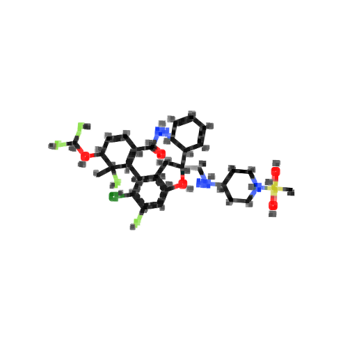 CC1(F)C(c2c(Cl)c(F)cc3c2C[C@@](CNC2CCN(S(C)(=O)=O)CC2)(C2C=CC=CC2)O3)=C(C(N)=O)C=CC1OC(F)F